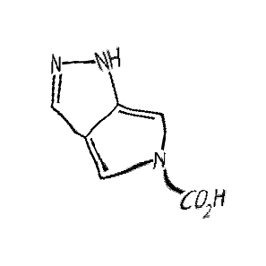 O=C(O)n1cc2cn[nH]c2c1